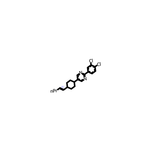 CCC/C=C/C1CCC(c2cnc(-c3ccc(Cl)c(Cl)c3)nc2)CC1